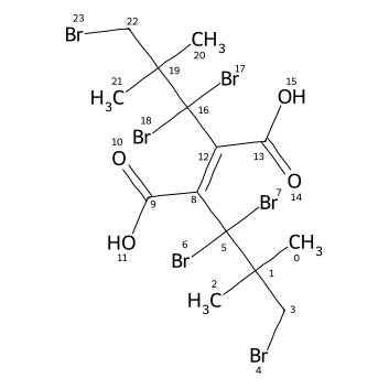 CC(C)(CBr)C(Br)(Br)/C(C(=O)O)=C(\C(=O)O)C(Br)(Br)C(C)(C)CBr